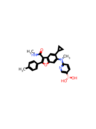 CNC(=O)c1c(-c2ccc(C)cc2)oc2cc(N(C)c3ccc(B(O)O)cn3)c(C3CC3)cc12